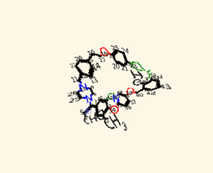 Cc1cc(/C(=C\C=O)N2CCN(Cc3ccc(CCOc4ccc(Cl)cc4)cc3)CC2)cc(Cl)c1Oc1ccc(OCc2cccc(F)c2C)cn1